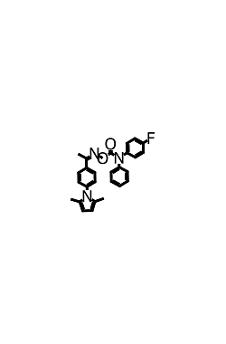 CC(=NOC(=O)N(c1ccccc1)c1ccc(F)cc1)c1ccc(-n2c(C)ccc2C)cc1